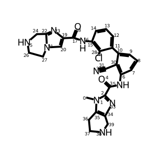 Cn1c(C(=O)Nc2cccc(-c3cccc(NC(=O)c4cn5c(n4)CNCC5)c3Cl)c2C#N)nc2c1CCNC2